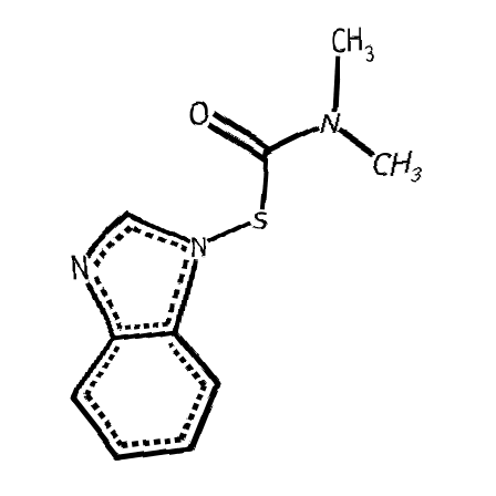 CN(C)C(=O)Sn1cnc2ccccc21